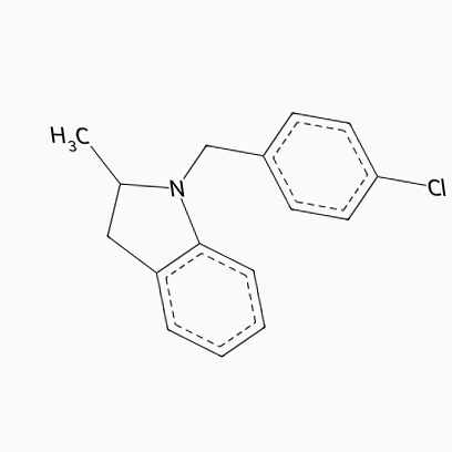 CC1Cc2ccccc2N1Cc1ccc(Cl)cc1